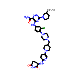 CC(=O)NC1CCCN(c2nnc(C(N)=O)c(Nc3ccc(N4CCN(CC5CCN(c6ccc(NC7CCC(=O)NC7=O)nc6)CC5)CC4)c(F)c3)n2)C1